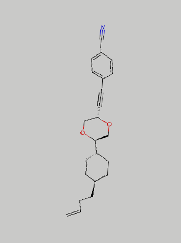 C=CCC[C@H]1CC[C@H]([C@@H]2CO[C@@H](C#Cc3ccc(C#N)cc3)CO2)CC1